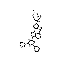 C[C@@H]1CC2C[C@@H](C1)CC(C)(c1ccc(-c3ccc(-c4nc(-c5ccccc5)nc(-c5ccccc5)n4)c4cccc(C#N)c34)cc1)C2